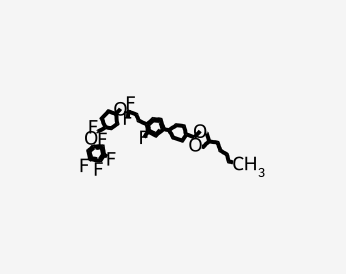 CCCCCC1COC(C2CCC(c3ccc(CCC(F)(F)OC4CCC(C(F)(F)Oc5cc(F)c(F)c(F)c5)CC4)c(F)c3)CC2)OC1